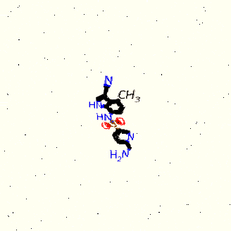 Cc1ccc(NS(=O)(=O)c2ccc(CN)nc2)c2[nH]cc(C#N)c12